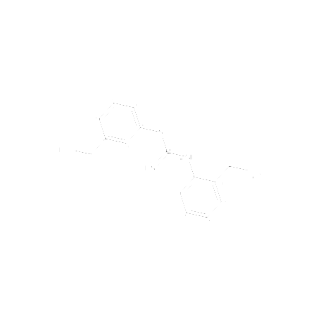 CCc1cccc(NC(=N)Nc2ccccc2CC)c1